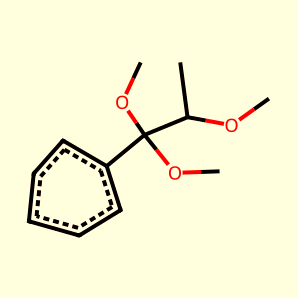 COC(C)C(OC)(OC)c1ccccc1